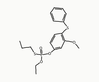 CCCSP(=O)(OCC)Oc1ccc(Sc2ccccc2)c(OC)c1